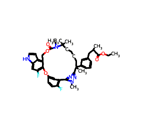 CCOC(=O)C(C)Cc1cccc(C2(C)CCCCC(C)(C)N(C)C(=O)OCc3c(c(F)cc4[nH]ccc34)Oc3ccc(F)c(c3)-c3nc2nn3C)c1